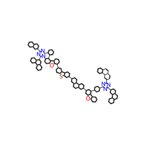 C1=CC2C=Cc3ccccc3C2C=C1c1nc(-c2ccc(-c3cc(-c4ccc5c(ccc6cc(-c7ccc8c(c7)sc7ccc(-c9cccc%10c9oc9cccc(-c%11ccccc%11-c%11nc(-c%12ccc%13ccccc%13c%12)nc(-c%12cc%13ccccc%13c%13ccccc%12%13)n%11)c9%10)cc78)ccc65)c4)cc4oc5ccccc5c34)cc2)nc(-c2ccc3ccc4ccccc4c3c2)n1